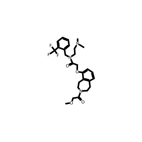 COCC(=O)N1CCc2cccc(OCC(=O)N(CCN(C)C)Cc3ccccc3C(F)(F)F)c2CC1